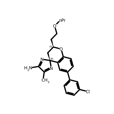 CCCOCC[C@@H]1C[C@]2(N=C(C)C(N)=N2)c2cc(-c3cccc(Cl)c3)ccc2O1